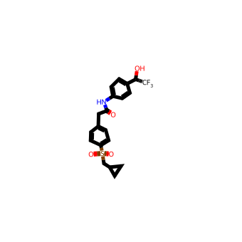 O=C(Cc1ccc(S(=O)(=O)CC2CC2)cc1)Nc1ccc(C(O)C(F)(F)F)cc1